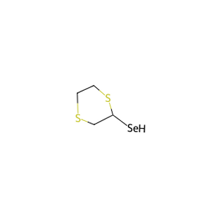 [SeH]C1CSCCS1